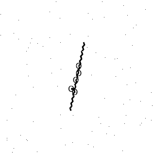 CCCCCCCCCCOCCOCCOCCCC(=O)OCCCCCCCC